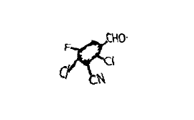 N#Cc1c(Cl)c(F)cc([C]=O)c1Cl